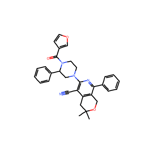 CC1(C)Cc2c(C#N)c(N3CCN(C(=O)c4ccoc4)C(c4ccccc4)C3)nc(-c3ccccc3)c2CO1